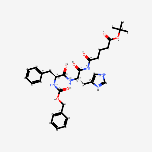 CC(C)(C)OC(=O)CCCC(=O)NC(=O)[C@H](Cc1c[nH]cn1)NC(=O)[C@H](Cc1ccccc1)NC(=O)OCc1ccccc1